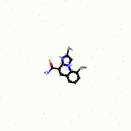 COc1cccc2cc(C(N)=O)c3nc(C)cn3c12